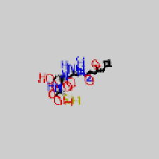 N[C@@H](CNC(=O)CCC(=O)CC1CCC1)C(=O)N[C@@H](CC(=O)O)C(=O)N[C@@H](CS)C(=O)O